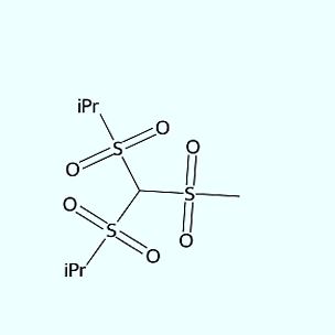 CC(C)S(=O)(=O)C(S(C)(=O)=O)S(=O)(=O)C(C)C